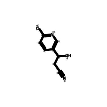 N#CCC(O)c1ccc(Cl)nc1